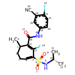 CC1CCC=C(S(=O)(=O)N[C@H](C)C(F)(F)F)C(F)=C1C(=O)Nc1ccc(F)c(C#N)c1